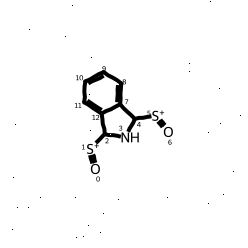 O=[S+]C1NC([S+]=O)c2ccccc21